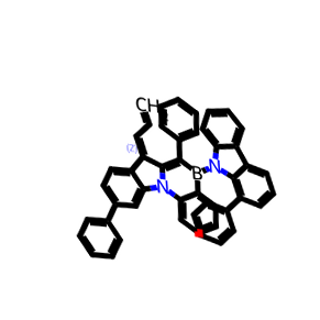 C=C/C=c1\c2n(c3cc(-c4ccccc4)ccc13)-c1ccccc1B(n1c3ccccc3c3cccc(-c4ccccc4)c31)C=2c1ccccc1